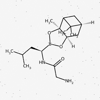 CC(C)C[C@H](NC(=O)CN)B1O[C@@H]2C[C@@H]3CC(C3(C)C)[C@]2(C)O1